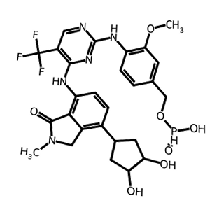 COc1cc(CO[PH](=O)O)ccc1Nc1ncc(C(F)(F)F)c(Nc2ccc(C3CC(O)C(O)C3)c3c2C(=O)N(C)C3)n1